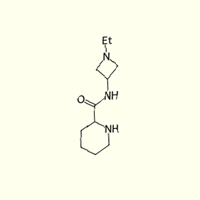 CCN1CC(NC(=O)C2CCCCN2)C1